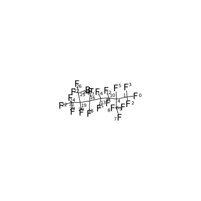 FC(F)(F)C(F)(C(F)(F)F)C(F)(F)C(F)(F)C(F)(F)C(F)(C(F)(F)F)C(F)(F)Br